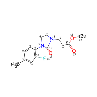 Bc1ccc(N2CCN(CCC(=O)OC(C)(C)C)C2=O)c(F)c1